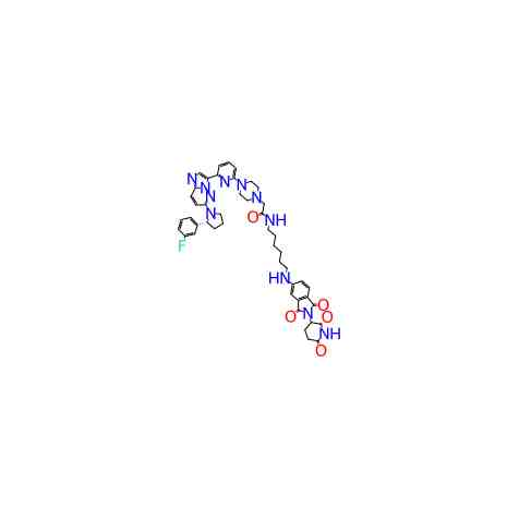 O=C(CN1CCN(c2cccc(-c3cnc4ccc(N5CCC[C@@H]5c5cccc(F)c5)nn34)n2)CC1)NCCCCCCNc1ccc2c(c1)C(=O)N(C1CCC(=O)NC1=O)C2=O